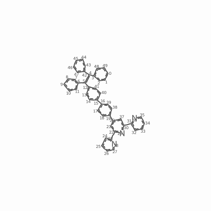 c1ccc(C(=C(c2ccccc2)c2ccc(-c3ccc(-c4cc(-c5ccccn5)nc(-c5ccccn5)c4)cc3)cc2)c2ccccc2)cc1